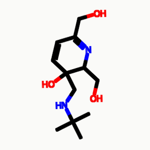 CC(C)(C)NCC1(O)C=CC(CO)=NC1CO